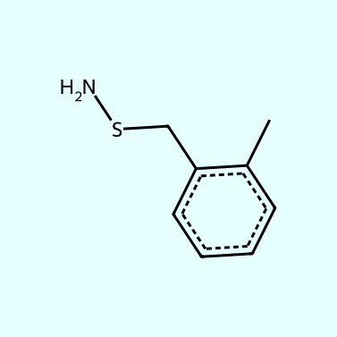 Cc1ccccc1CSN